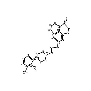 O=C1CCc2cc(CCCN3CCN(c4cccc(Cl)c4Cl)CC3)cc3c2N1CCC3